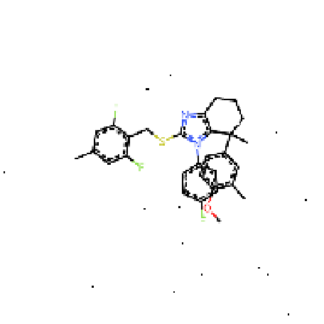 COc1ccc(C2(C)CCCc3nc(SCc4c(F)cc(C)cc4F)n(-c4ccc(F)cc4)c32)cc1C